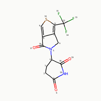 O=C1CCC(N2Cc3c(csc3C(F)(F)F)C2=O)C(=O)N1